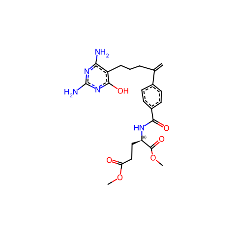 C=C(CCCc1c(N)nc(N)nc1O)c1ccc(C(=O)N[C@H](CCC(=O)OC)C(=O)OC)cc1